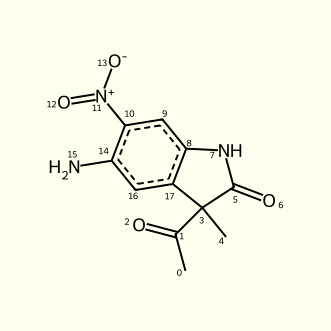 CC(=O)C1(C)C(=O)Nc2cc([N+](=O)[O-])c(N)cc21